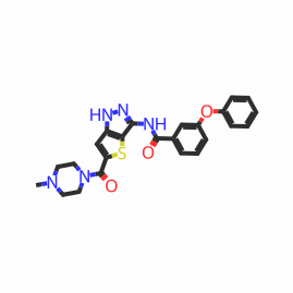 CN1CCN(C(=O)c2cc3[nH]nc(NC(=O)c4cccc(Oc5ccccc5)c4)c3s2)CC1